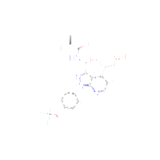 C=C(F)C(=O)NCc1nn(-c2ccc(OC(F)(F)F)cc2)c2nccc([C@H](O)CO)c12